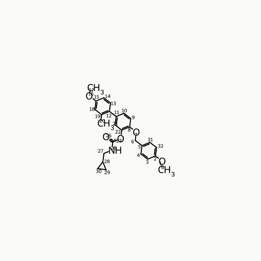 COc1ccc(COc2ccc(-c3ccc(OC)cc3C)cc2OC(=O)NCC2CC2)cc1